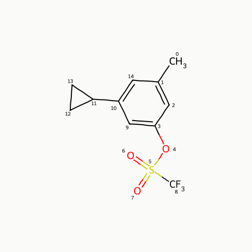 Cc1cc(OS(=O)(=O)C(F)(F)F)cc(C2CC2)c1